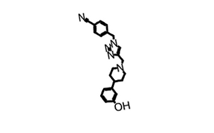 N#Cc1ccc(Cn2cc(CN3CCC(c4cccc(O)c4)CC3)nn2)cc1